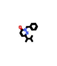 CC(C)C(C)c1ccc(=O)n(Cc2ccccc2)n1